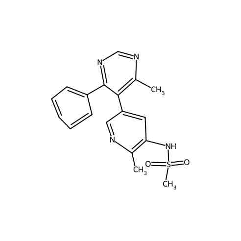 Cc1ncc(-c2c(C)ncnc2-c2ccccc2)cc1NS(C)(=O)=O